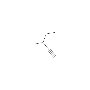 C#CC(C)CC